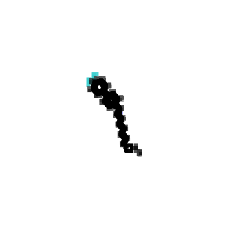 CCCCCCC/C=C/c1ccc(C2CCC(F)(F)CC2)cc1